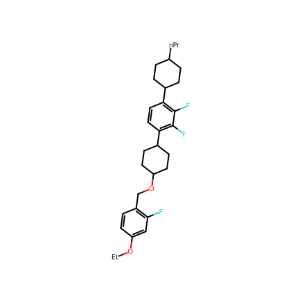 CCCC1CCC(c2ccc(C3CCC(OCc4ccc(OCC)cc4F)CC3)c(F)c2F)CC1